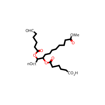 CCCCCCCCC(OC(=O)CCCCC=O)C(CCCCCCCC(=O)OC)OC(=O)CCCCC(=O)O